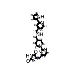 O=C1NC(=O)/C(=C\c2ccnc(N3CCC(CNCc4ccnc(-c5ccc[nH]5)c4)CC3)n2)S1